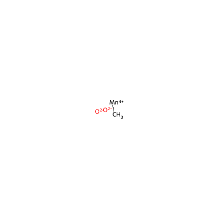 [CH3][Mn+4].[O-2].[O-2]